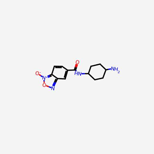 NC1CCC(NC(=O)c2ccc3c(c2)no[n+]3[O-])CC1